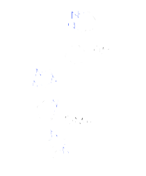 COc1ccc(C2CCCn3nc(-c4ccc(-n5cnc(C)c5)c(OC)n4)nc32)cc1-c1cccnn1